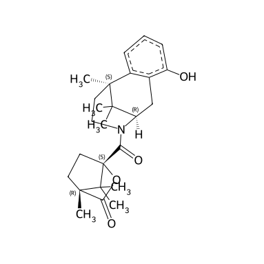 CC1(C)[C@H]2Cc3c(O)cccc3[C@]1(C)CCN2C(=O)[C@@]12CC[C@@](C)(C(=O)O1)C2(C)C